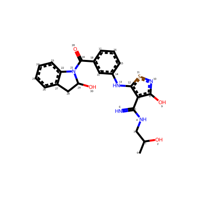 CC(O)CNC(=N)c1c(O)nsc1Nc1cccc(C(=O)N2c3ccccc3CC2O)c1